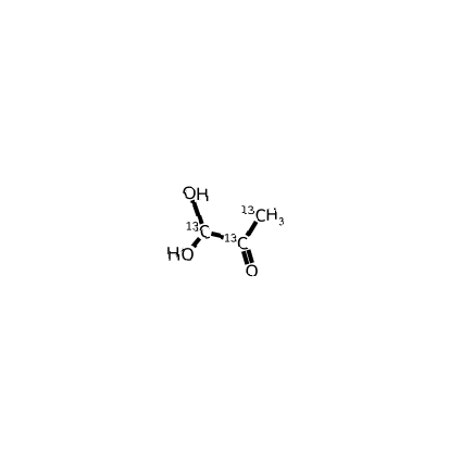 [13CH3][13C](=O)[13CH](O)O